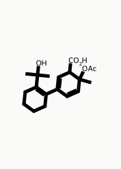 CC(=O)OC1(C)C=CC(C2=C(C(C)(C)O)CCCC2)=CC1C(=O)O